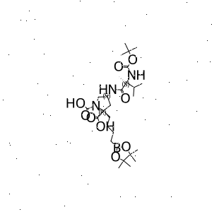 CC(C)[C@](C)(NC(=O)OC(C)(C)C)C(=O)N[C@H]1CN(C(=O)O)[C@@](CCCCB2OC(C)(C)C(C)(C)O2)(C(=O)O)C1